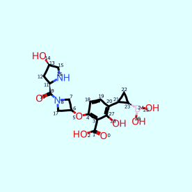 O=C(O)c1c(OC2CN(C(=O)[C@H]3C[C@@H](O)CN3)C2)ccc(C2C[C@H]2B(O)O)c1O